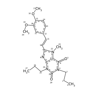 CCCn1c(=O)c2c(nc(C=Cc3ccc(OC)c(OC)c3)n2C)n(CCC)c1=O